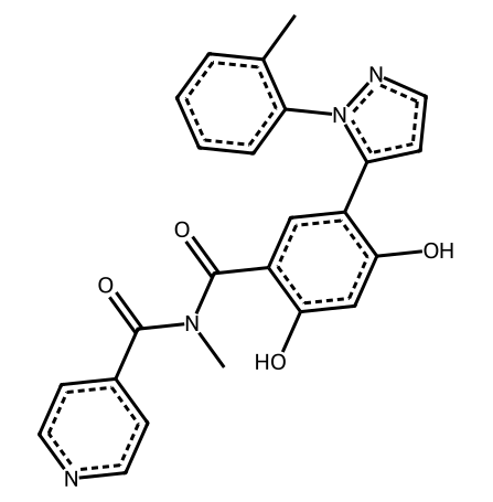 Cc1ccccc1-n1nccc1-c1cc(C(=O)N(C)C(=O)c2ccncc2)c(O)cc1O